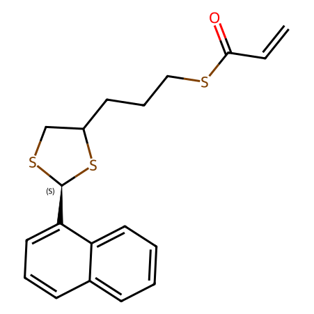 C=CC(=O)SCCCC1CS[C@H](c2cccc3ccccc23)S1